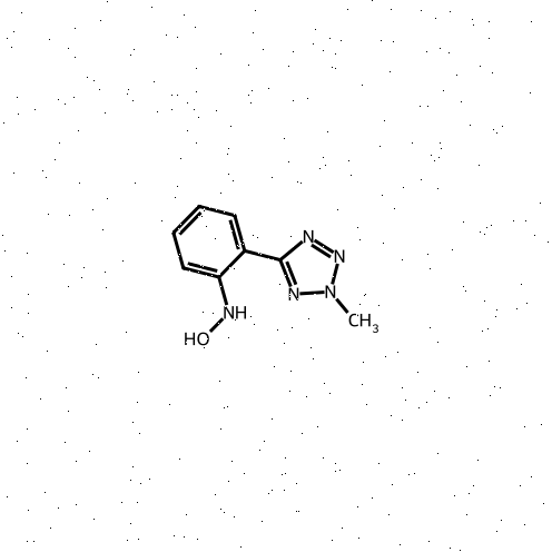 Cn1nnc(-c2ccccc2NO)n1